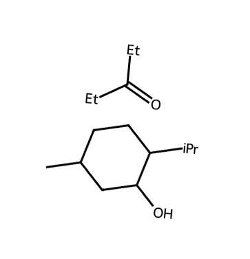 CC1CCC(C(C)C)C(O)C1.CCC(=O)CC